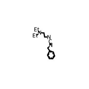 CCN(CC)CCN=C=NCc1ccccc1